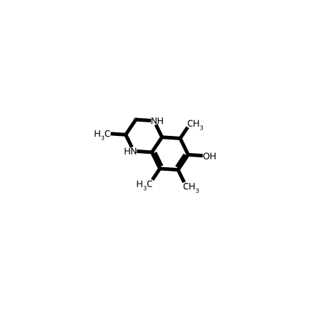 CC1=C(O)C(C)C2NCC(C)NC2=C1C